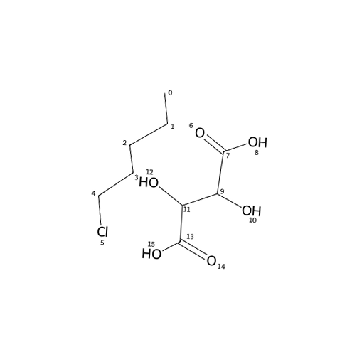 CCCCCCl.O=C(O)C(O)C(O)C(=O)O